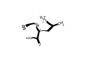 CC(C)C[C@H](NBr)C(=O)O